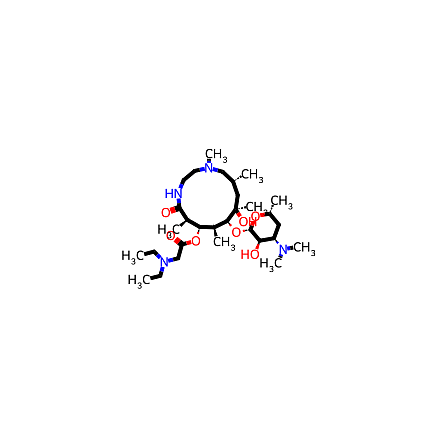 CCN(CC)CC(=O)O[C@H]1[C@H](C)[C@@H](O[C@@H]2O[C@H](C)C[C@H](N(C)C)[C@H]2O)[C@](C)(O)C[C@@H](C)CN(C)CCNC(=O)[C@@H]1C